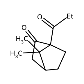 CCC(=O)C12CCC(CC1=O)C2(C)C